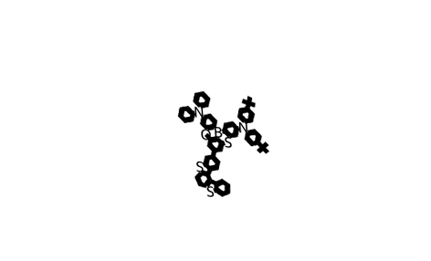 CC(C)(C)c1ccc(N(c2ccc(C(C)(C)C)cc2)c2ccc3c(c2)Sc2cc(-c4ccc5c(c4)sc4ccc6sc7ccccc7c6c45)cc4c2B3c2ccc(N(c3ccccc3)c3ccccc3)cc2O4)cc1